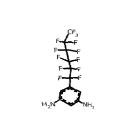 Nc1cc(N)cc(C(F)(F)C(F)(F)C(F)(F)C(F)(F)C(F)(F)C(F)(F)F)c1